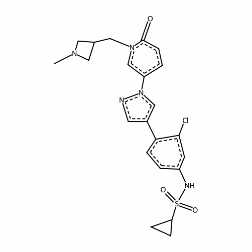 CN1CC(Cn2cc(-n3cc(-c4ccc(NS(=O)(=O)C5CC5)cc4Cl)cn3)ccc2=O)C1